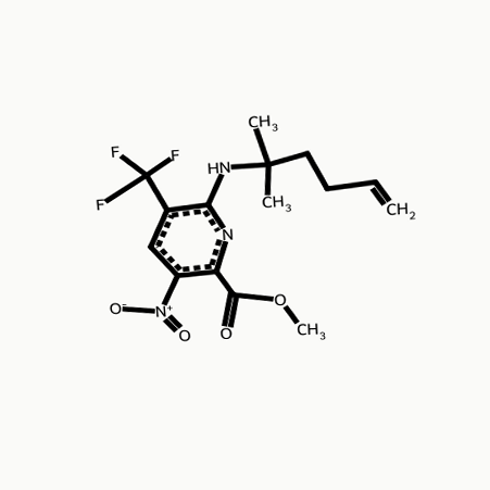 C=CCCC(C)(C)Nc1nc(C(=O)OC)c([N+](=O)[O-])cc1C(F)(F)F